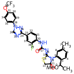 COC(C)c1ccc(C)cc1N1C(=O)CS/C1=N\C(=O)Nc1ccc(-c2ncn(-c3ccc(OC(F)(F)F)cc3)n2)cc1F